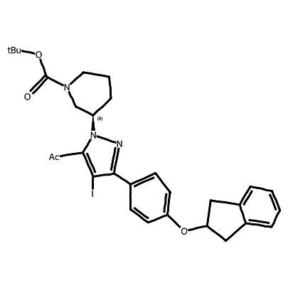 CC(=O)c1c(I)c(-c2ccc(OC3Cc4ccccc4C3)cc2)nn1[C@@H]1CCCN(C(=O)OC(C)(C)C)C1